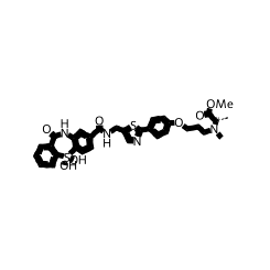 COC(=O)[C@H](C)N(C)CCCOc1ccc(-c2ncc(CNC(=O)c3ccc4c(c3)NC(=O)c3ccccc3S4(O)O)s2)cc1